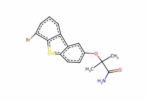 CC(C)(Oc1ccc2sc3c(Br)cccc3c2c1)C(N)=O